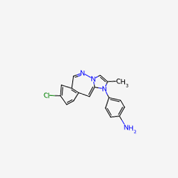 CC1=CN2N=Cc3cc(Cl)ccc3C=C2N1c1ccc(N)cc1